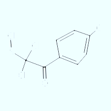 O=C(c1ccc(Cl)cc1)C(Cl)(Cl)SCl